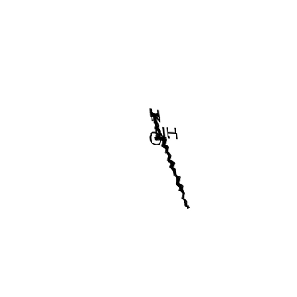 CCCCCCCCCCCCCCCCCCCC(=O)NCCCN(C)C